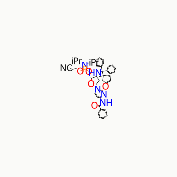 CC(C)N(C(C)C)P(OCCC#N)OC[C@H]1O[C@@H](n2ccc(NC(=O)c3ccccc3)nc2=O)CC1NC(c1ccccc1)(c1ccccc1)C1(C)C=CC=CC1